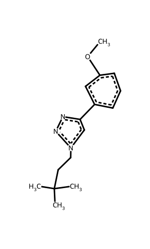 COc1cccc(-c2cn(CCC(C)(C)C)nn2)c1